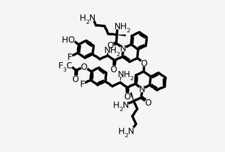 C[C@](N)(CCCN)C(=O)N1C(C(=O)[C@@H](N)Cc2ccc(O)c(F)c2)=CC(OC2C=C(C(=O)[C@@H](N)Cc3ccc(OC(=O)C(F)(F)F)c(F)c3)N(C(=O)[C@@](C)(N)CCCN)c3ccccc32)c2ccccc21